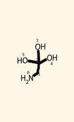 N[CH]C(O)(O)O